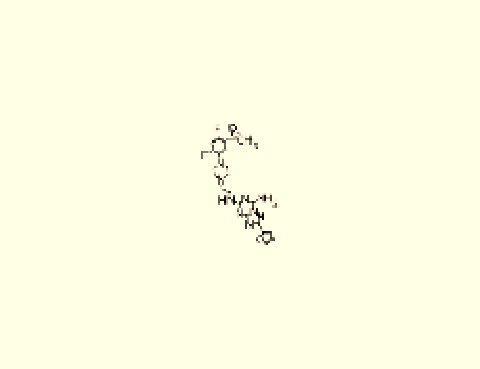 C[S@@+]([O-])c1cc(N2CCN(CCNc3nc(N)n4nc(-c5ccco5)nc4n3)CC2)c(F)cc1F